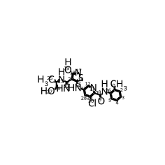 Cc1ccccc1NC(=O)c1ncc(Nc2snc(O)c2C(=N)NC(C)CO)cc1Cl